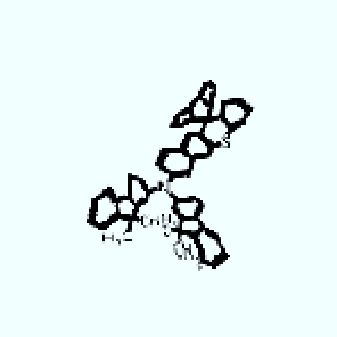 CC1(C)c2ccccc2-c2ccc(N(c3ccc4c(c3)C(C)(C)c3ccccc3-4)c3ccc4cc5c(cc4c3)Sc3ccccc3C53c4ccccc4-c4ccccc43)cc21